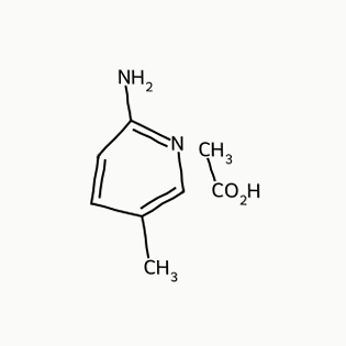 CC(=O)O.Cc1ccc(N)nc1